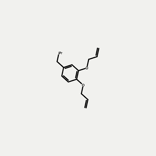 C=CCOc1ccc(CC(C)C)cc1OCC=C